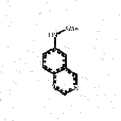 CSNc1ccc2ncncc2c1